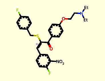 CCN(CC)CCOc1ccc(C(=O)/C(=C\c2ccc(F)c([N+](=O)[O-])c2)SCc2ccc(F)cc2)cc1